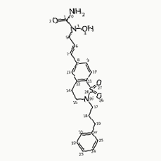 NC(=O)N(O)CC=Cc1ccc2c(c1)CCN(CCCc1ccccc1)S2(=O)=O